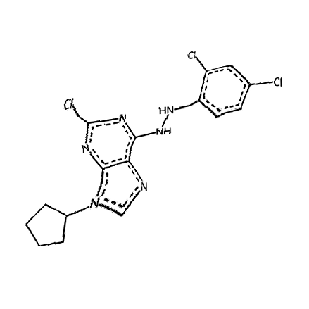 Clc1ccc(NNc2nc(Cl)nc3c2ncn3C2CCCC2)c(Cl)c1